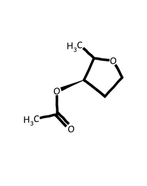 CC(=O)O[C@@H]1CCOC1C